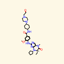 CC[C@@H]1C(=O)N(C)c2cnc(Nc3ccc(C(=O)NC4CCC(N5CCN(CC=O)CC5)CC4)cc3OC)nc2N1C1CCCC1